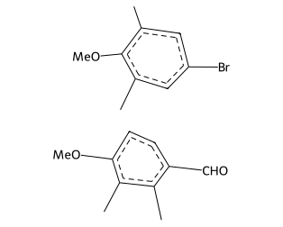 COc1c(C)cc(Br)cc1C.COc1ccc(C=O)c(C)c1C